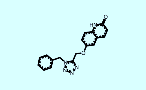 O=c1ccc2cc(OCc3nnnn3Cc3ccccc3)ccc2[nH]1